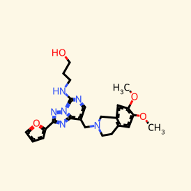 COc1cc2c(cc1OC)CN(Cc1cnc(NCCCO)n3nc(-c4ccco4)nc13)CC2